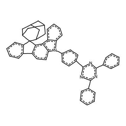 c1ccc(-c2nc(-c3ccccc3)nc(-c3ccc(-n4c5ccccc5c5c6c(ccc54)-c4ccccc4C64C5CC6CC(C5)CC4C6)cc3)n2)cc1